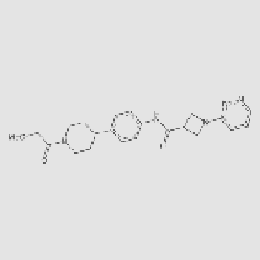 COCC(=O)N1CCC(c2ccc(NC(=O)C3CN(c4cccnn4)C3)cc2)CC1